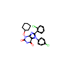 O=C1[N]C(=O)N(OC2CCCCC2)c2nc(-c3ccccc3Cl)n(-c3ccc(Cl)cc3)c21